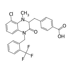 CN1c2c(Cl)cccc2N(Cc2ccccc2C(F)(F)F)C(=O)C1Cc1ccc(C(=O)O)cc1